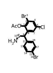 CC(=O)Oc1c(Br)cc(Cl)cc1C(SN)c1ccc(Br)cc1